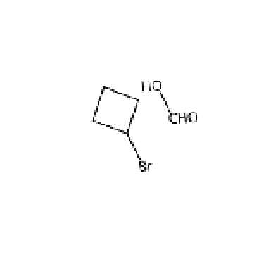 BrC1CCC1.O=CO